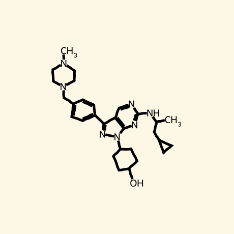 CC(CC1CC1)Nc1ncc2c(-c3ccc(CN4CCN(C)CC4)cc3)nn(C3CCC(O)CC3)c2n1